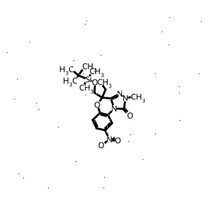 CCC1(CO[Si](C)(C)C(C)(C)C)Oc2ccc([N+](=O)[O-])cc2-n2c1nn(C)c2=O